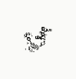 C#Cc1c(F)ccc2cc(O)cc(-c3ncc4c(N5CC6CCC(C5)N6)nc(OC5CCN(CCCC(=O)N[C@H](C(=O)N6C[C@H](O)C[C@H]6C(=O)NCc6ccc(-c7scnc7C)cc6)C(C)(C)C)CC5)nc4c3F)c12